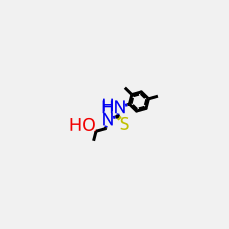 Cc1ccc(NC(=S)NCC(C)O)c(C)c1